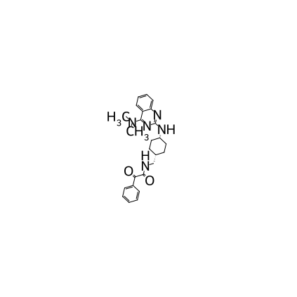 CN(C)c1nc(N[C@H]2CC[C@@H](CNC(=O)C(=O)c3ccccc3)CC2)nc2ccccc12